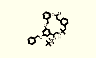 CC(C)(Cc1cccc(CC(=O)O)c1)NCC(O[Si](C)(C)C(C)(C)C)c1cc(OCc2ccccc2)cc(OCc2ccccc2)c1